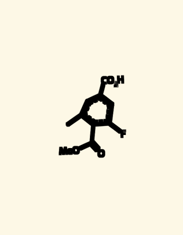 COC(=O)c1c(C)cc(C(=O)O)cc1F